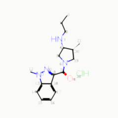 CCCN[C@@H]1CN(C(=O)c2nn(C)c3ccccc23)C[C@@H]1C.Cl